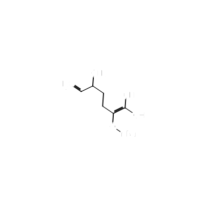 C=CC(C)CCC(OCCCC)=C(C)C